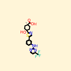 C[C@]1(C(=O)O)CC[C@@](O)(c2ncc(-c3cccc(Nc4nccc(C(F)(F)F)n4)c3)s2)CC1